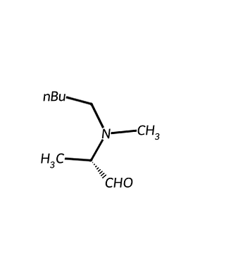 CCCCCN(C)[C@@H](C)C=O